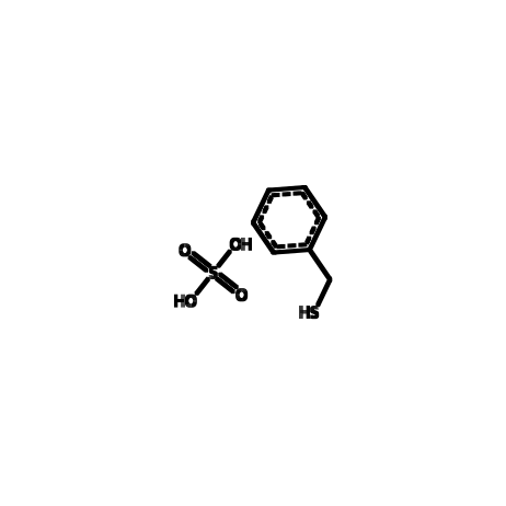 O=S(=O)(O)O.SCc1ccccc1